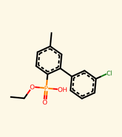 CCOP(=O)(O)c1ccc(C)cc1-c1cccc(Cl)c1